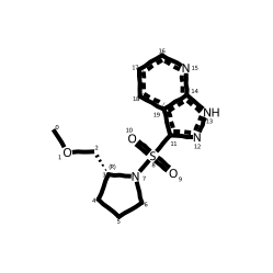 COC[C@H]1CCCN1S(=O)(=O)c1n[nH]c2ncccc12